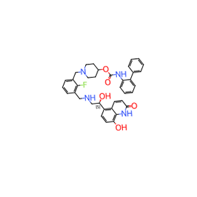 O=C(Nc1ccccc1-c1ccccc1)OC1CCN(Cc2cccc(CNC[C@@H](O)c3ccc(O)c4[nH]c(=O)ccc34)c2F)CC1